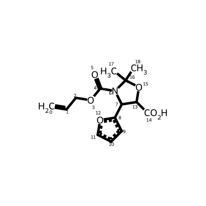 C=CCOC(=O)N1C(c2ccco2)C(C(=O)O)OC1(C)C